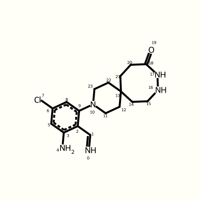 N=Cc1c(N)cc(Cl)cc1N1CCC2(CCNNC(=O)CC2)CC1